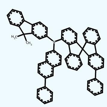 CC1(C)c2ccccc2-c2ccc(N(c3ccc4cc(-c5ccccc5)ccc4c3)c3cccc4c3-c3ccccc3C43c4ccccc4-c4ccc(-c5ccccc5)cc43)cc21